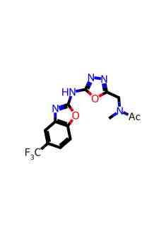 CC(=O)N(C)Cc1nnc(Nc2nc3cc(C(F)(F)F)ccc3o2)o1